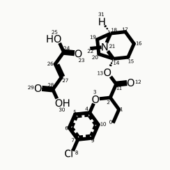 CCC(Oc1ccc(Cl)cc1)C(=O)O[C@]12CCC[C@H](CC1)N2C.O=C(O)C=CC(=O)O